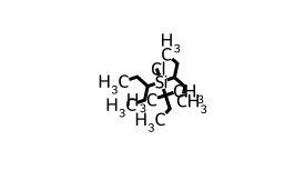 CCC(CC)[Si](Cl)(C(CC)CC)C(C)(C)CC